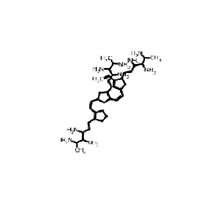 C=CC1CC(/C=C\C2CC(/C=C\C3CCCC3CCC(N)C(N)C(C)N)CC2CCC(N)C(N)C(C)N)CC1CCC(N)C(N)C(C)N